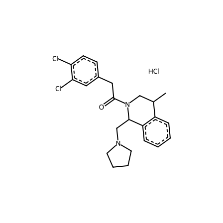 CC1CN(C(=O)Cc2ccc(Cl)c(Cl)c2)C(CN2CCCC2)c2ccccc21.Cl